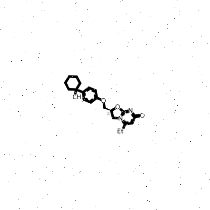 CCc1cc(=O)nc2n1C[C@@H](COc1ccc(C3(C)CCCCC3)cc1)O2